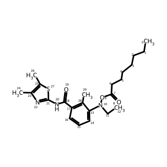 CCCCCCCC(=O)ON(CC)c1cccc(C(=O)Nc2nc(C)c(C)s2)c1C